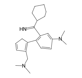 CN(C)CC1=C(c2ccc(N(C)C)cc2C(=N)C2CCCCC2)CC=C1